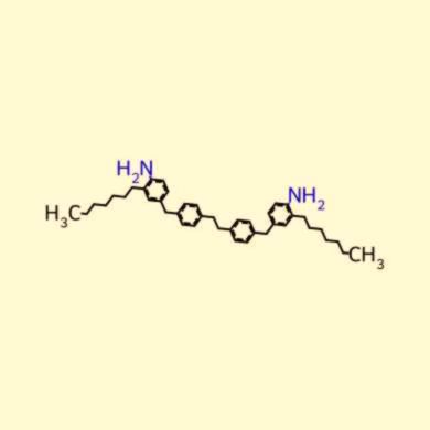 CCCCCCCc1cc(Cc2ccc(CCc3ccc(Cc4ccc(N)c(CCCCCCC)c4)cc3)cc2)ccc1N